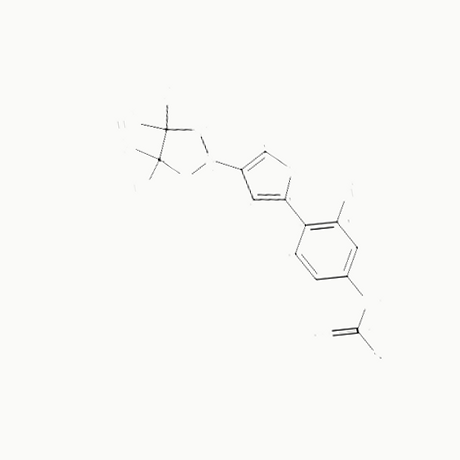 CC1(C)OB(c2csc(-c3ccc(OC(N)=O)cc3Cl)c2)OC1(C)C